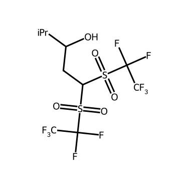 CC(C)C(O)CC(S(=O)(=O)C(F)(F)C(F)(F)F)S(=O)(=O)C(F)(F)C(F)(F)F